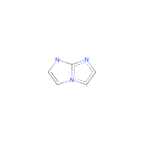 [c]1cnc2n1C=C[N]2